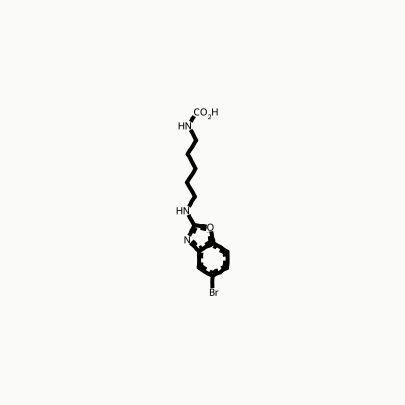 O=C(O)NCCCCCNc1nc2cc(Br)ccc2o1